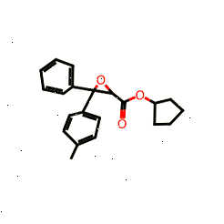 Cc1ccc(C2(c3ccccc3)OC2C(=O)OC2CCCC2)cc1